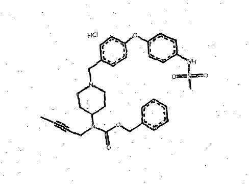 CC#CCN(C(=O)OCc1ccccc1)C1CCN(Cc2ccc(Oc3ccc(NS(C)(=O)=O)cc3)cc2)CC1.Cl